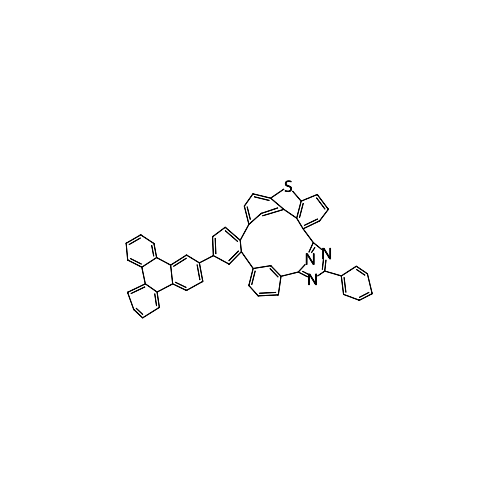 c1ccc(-c2nc3nc(n2)c2cccc4sc5ccc(cc5c42)c2ccc(-c4ccc5c6ccccc6c6ccccc6c5c4)cc2c2cccc3c2)cc1